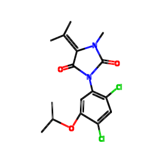 CC(C)=C1C(=O)N(c2cc(OC(C)C)c(Cl)cc2Cl)C(=O)N1C